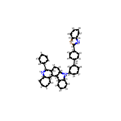 c1ccc(-c2nc3ccccc3c3c2ccc2c3c3ccccc3n2-c2cccc(-c3ccc(-c4nc5ccccc5s4)cc3)c2)cc1